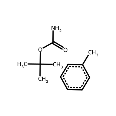 CC(C)(C)OC(N)=O.Cc1ccccc1